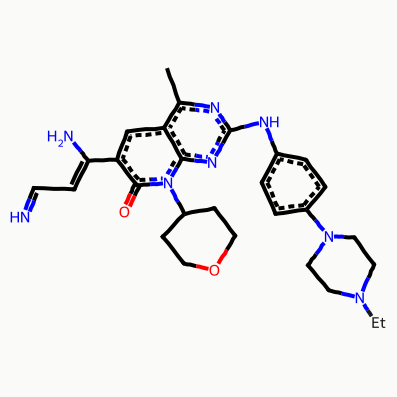 CCN1CCN(c2ccc(Nc3nc(C)c4cc(/C(N)=C/C=N)c(=O)n(C5CCOCC5)c4n3)cc2)CC1